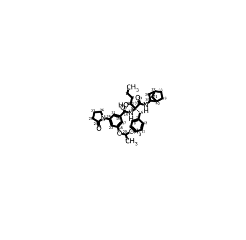 CCC[C@H](O)[C@](Cc1ccccc1)(NC(=O)c1cc(OC(C)C)cc(N2CCCC2=O)c1)C(=O)NC1CC2CCC1C2